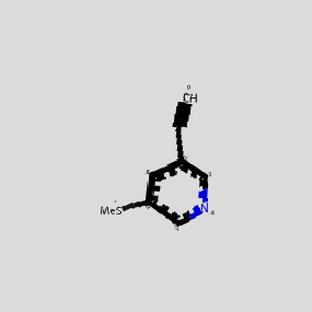 C#Cc1cncc(SC)c1